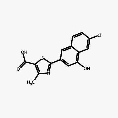 Cc1nc(-c2cc(O)c3cc(Cl)ccc3c2)sc1C(=O)O